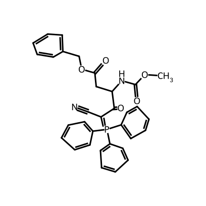 COC(=O)NC(CC(=O)OCc1ccccc1)C(=O)C(C#N)=P(c1ccccc1)(c1ccccc1)c1ccccc1